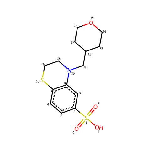 O=S(=O)(O)c1ccc2c(c1)N(CC1CCOCC1)CCS2